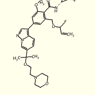 C=CC(F)OCc1cc(-c2cnn3cc(C(C)(C)OCCN4CCOCC4)ccc23)cc(OC)c1C(=O)N[C@@H]1C[C@@H]1F